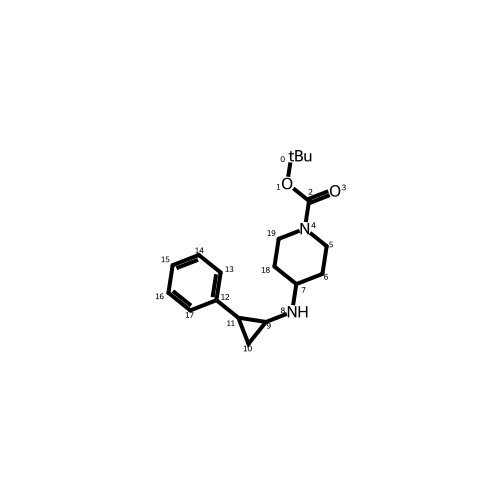 CC(C)(C)OC(=O)N1CCC(NC2CC2c2ccccc2)CC1